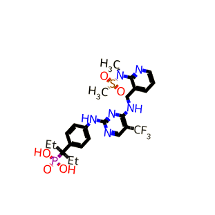 CCC(CC)(c1ccc(Nc2ncc(C(F)(F)F)c(NCc3cccnc3N(C)S(C)(=O)=O)n2)cc1)P(=O)(O)O